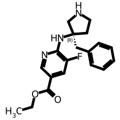 CCOC(=O)c1cnc(N[C@]2(Cc3ccccc3)CCNC2)c(F)c1